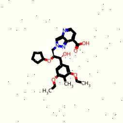 CCOc1cc([C@@H](O)[C@H](Cn2cc3nccc(C(=O)O)c3n2)OC2CCCC2)cc(OCC)c1C